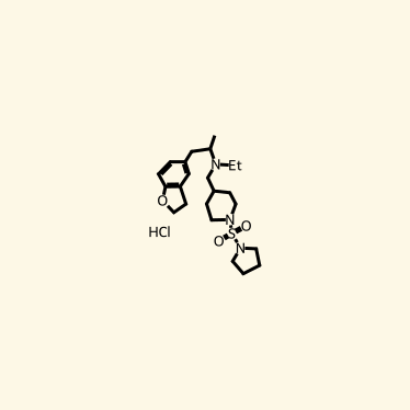 CCN(CC1CCN(S(=O)(=O)N2CCCC2)CC1)C(C)Cc1ccc2c(c1)CCO2.Cl